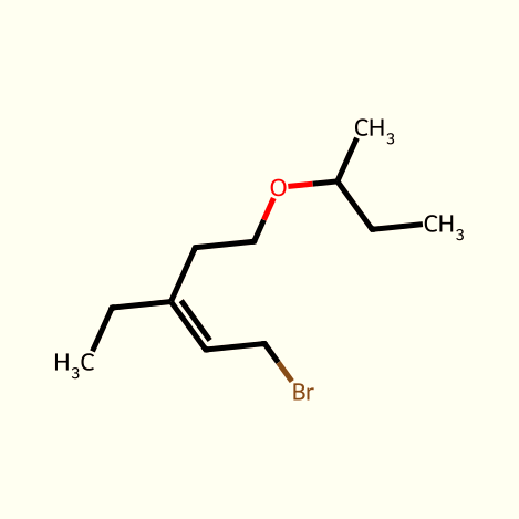 CCC(=CCBr)CCOC(C)CC